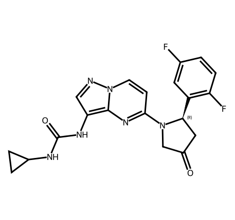 O=C1C[C@H](c2cc(F)ccc2F)N(c2ccn3ncc(NC(=O)NC4CC4)c3n2)C1